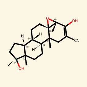 C[C@]1(O)CC[C@H]2[C@@H]3CC[C@@]45O[C@]4(C)C(O)=C(C#N)C[C@]5(C)[C@H]3CC[C@@]21C